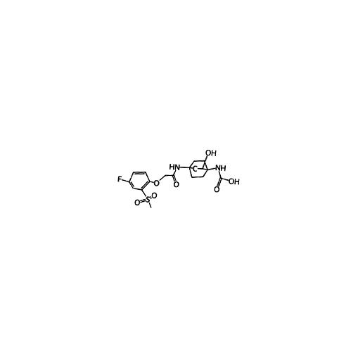 CS(=O)(=O)c1cc(F)ccc1OCC(=O)NC12CCC(NC(=O)O)(CC1)C(O)C2